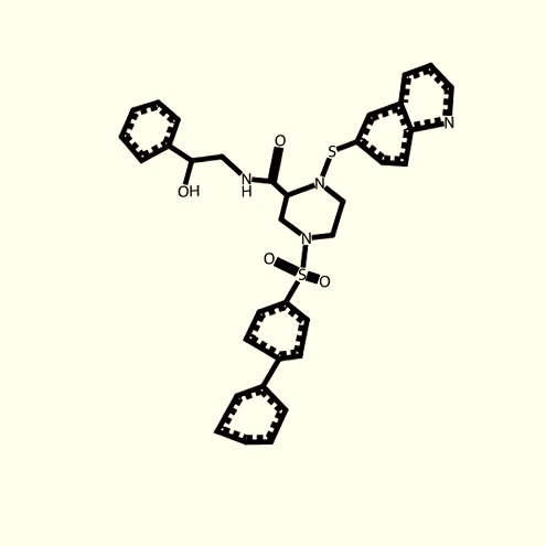 O=C(NCC(O)c1ccccc1)C1CN(S(=O)(=O)c2ccc(-c3ccccc3)cc2)CCN1Sc1ccc2ncccc2c1